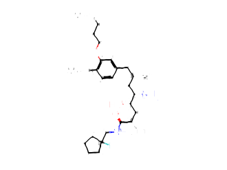 COCCCOc1cc(C[C@@H](C[C@H](N)[C@@H](O)C[C@H](C(=O)NCC2(F)CCCC2)C(C)C)C(C)C)ccc1OC